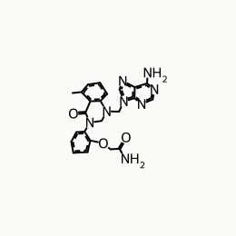 Cc1cccc2c1C(=O)N(c1ccccc1OCC(N)=O)CN2Cn1cnc2c(N)ncnc21